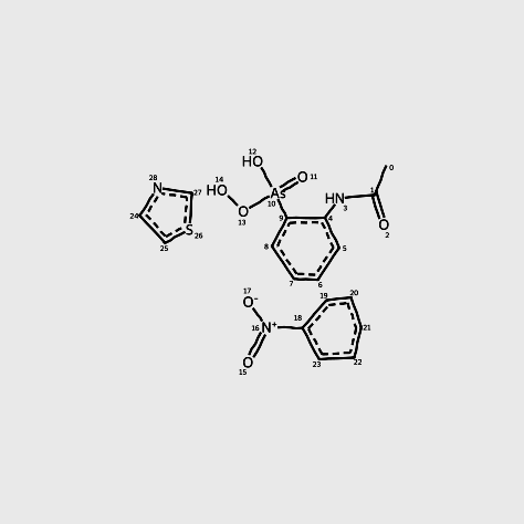 CC(=O)Nc1ccccc1[As](=O)(O)OO.O=[N+]([O-])c1ccccc1.c1cscn1